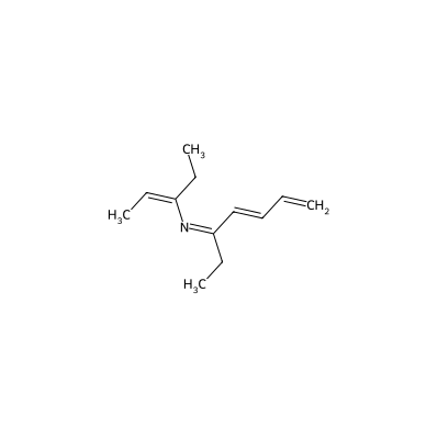 C=C/C=C/C(CC)=N\C(=C/C)CC